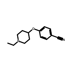 CCN1CCC(Oc2ccc(C#N)cc2)CC1